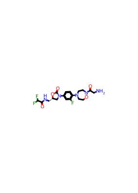 NCC(=O)N1CCN(c2ccc(N3C[C@H](CNC(=O)C(F)F)OC3=O)cc2F)CCO1